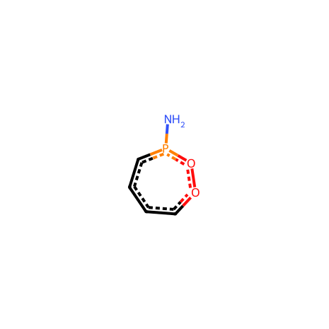 Np1ccccoo1